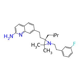 CC(C)C[C@@]1(CCc2ccc3ccc(N)nc3c2)N(CCc2cccc(F)c2)C1(C)C